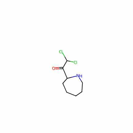 O=C(C(Cl)Cl)C1CCCCCN1